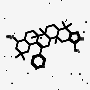 CC1(C)CC2C3=C(c4cccnc4)CC4C5(C)Cc6c(n[nH]c6N)C(C)(C)C5CCC4(C)C3(C)CCC2[C@H](C(=O)O)C1